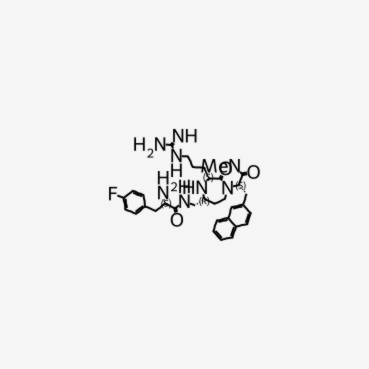 CNC(=O)[C@H](Cc1ccc2ccccc2c1)N1CC[C@H](CNC(=O)[C@@H](N)Cc2ccc(F)cc2)N[C@@H](CCCNC(=N)N)C1=O